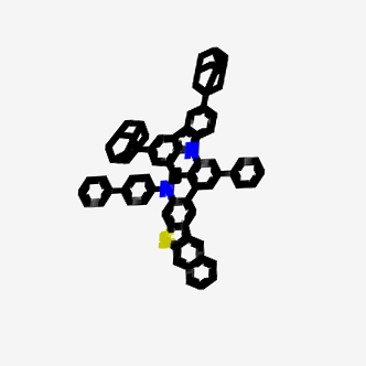 c1ccc(-c2ccc(N3B4c5c(cc(-c6ccccc6)cc5-n5c6ccc(C78CC9CC(CC(C9)C7)C8)cc6c6cc(C78CC9CC(CC(C9)C7)C8)cc4c65)-c4cc5c(cc43)sc3cc4ccccc4cc35)cc2)cc1